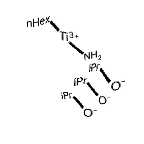 CC(C)[O-].CC(C)[O-].CC(C)[O-].CCCCC[CH2][Ti+3][NH2]